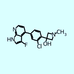 CN1CC(O)(c2ccc(-c3ccnc4[nH]cc(F)c34)cc2Cl)C1